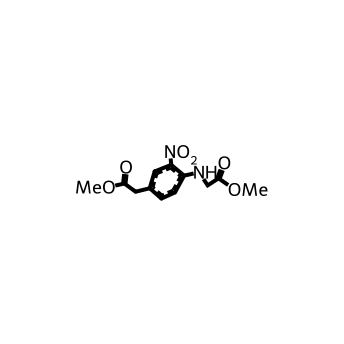 COC(=O)CNc1ccc(CC(=O)OC)cc1[N+](=O)[O-]